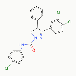 O=C(Nc1ccc(Cl)cc1)N1CC(c2ccccc2)C(c2ccc(Cl)c(Cl)c2)=N1